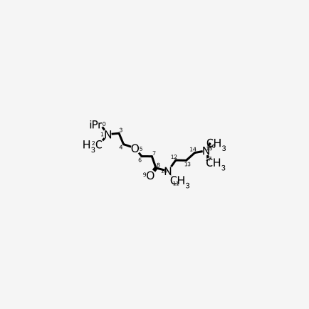 CC(C)N(C)CCOCCC(=O)N(C)CCCN(C)C